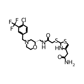 NC(=O)CC1=CSC(SCC(=O)NC[C@H]2CN(Cc3ccc(Cl)c(C(F)(F)F)c3)CCO2)N1